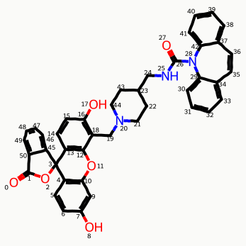 O=C1OC2(c3ccc(O)cc3Oc3c2ccc(O)c3CN2CCC(CNC(=O)N3c4ccccc4C=Cc4ccccc43)CC2)c2ccccc21